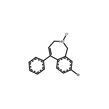 [O-][NH+]1CC=C(c2ccccc2)c2ccc(Br)cc2C1